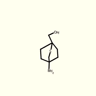 BC12CCC(CO)(CC1)CC2